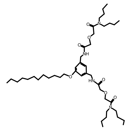 CCCCCCCCCCCCOc1cc(CNC(=O)COCC(=O)N(CCCC)CCCC)cc(CNC(=O)COCC(=O)N(CCCC)CCCC)c1